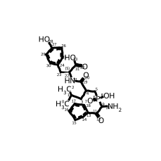 CC(C)CC(CP(=O)(O)C(N)C(=O)c1ccccc1)C(=O)N[C@@H](Cc1ccc(O)cc1)C(=O)O